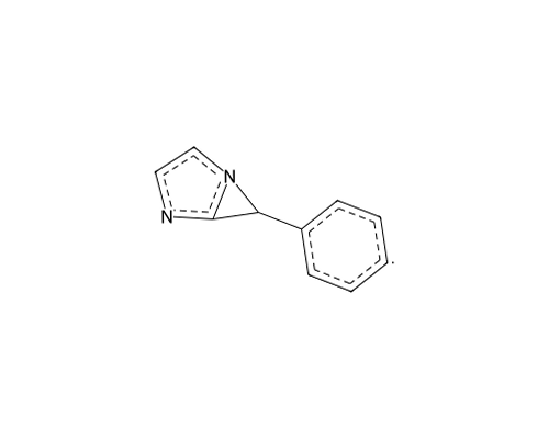 [c]1ccc(C2c3nccn32)cc1